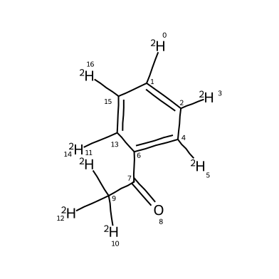 [2H]c1c([2H])c([2H])c(C(=O)C([2H])([2H])[2H])c([2H])c1[2H]